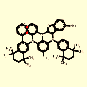 Cc1ccc2c(c1)N(c1cc3c(cc1-c1ccccc1)C(C)(C)CCC3(C)C)c1cc(C)cc3c1B2c1sc2ccc(C(C)(C)C)cc2c1N3c1ccc2c(c1)C(C)(C)CCC2(C)C